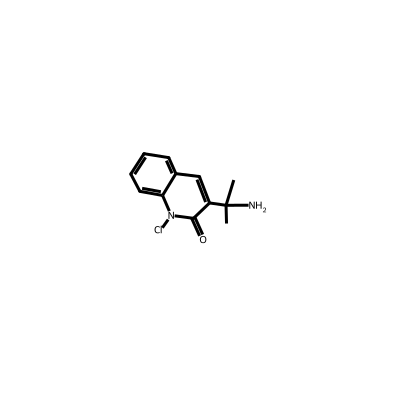 CC(C)(N)c1cc2ccccc2n(Cl)c1=O